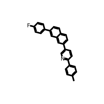 Cc1ccc(-c2ccc(-c3ccc4ccc(-c5ccc(F)cc5)cc4c3)cn2)cc1